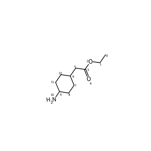 CCOC(=O)CC1CCC(N)CC1